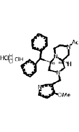 COc1ccncc1CN1C[C@@H]2CN(C(C)=O)CCN2[C@H](C(c2ccccc2)c2ccccc2)C1.Cl.Cl.Cl